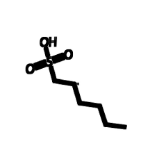 CCCC[CH]CS(=O)(=O)O